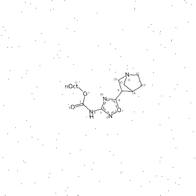 CCCCCCCCOC(=O)Nc1noc(C2CN3CCC2C3)n1